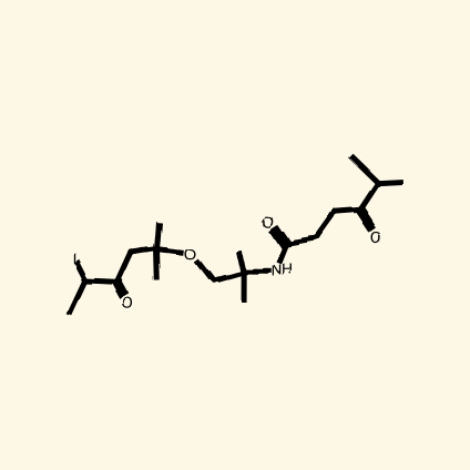 CC(C)C(=O)CCC(=O)NC(C)(C)COC(C)(C)CC(=O)C(C)I